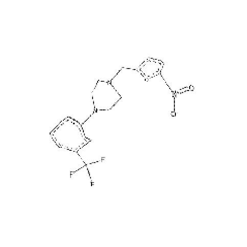 O=[N+]([O-])c1ccc(CN2CCN(c3cccc(C(F)(F)F)c3)CC2)o1